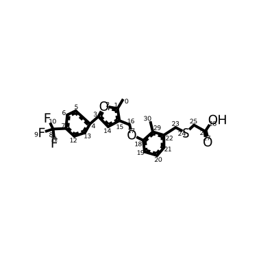 Cc1oc(-c2ccc(C(F)(F)F)cc2)cc1COc1cccc(CSCC(=O)O)c1C